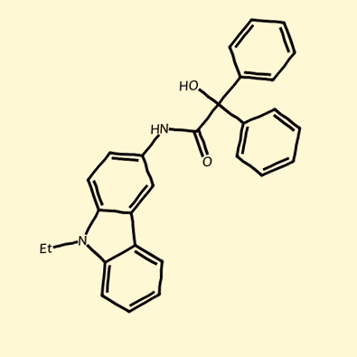 CCn1c2ccccc2c2cc(NC(=O)C(O)(c3ccccc3)c3ccccc3)ccc21